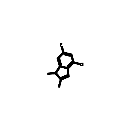 CC1=Cc2c(Cl)cc(F)cc2C1C